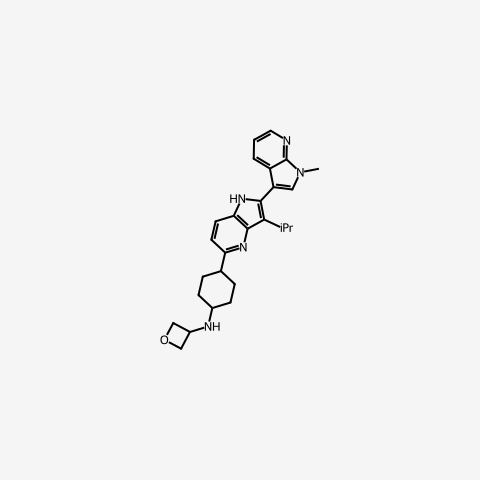 CC(C)c1c(-c2cn(C)c3ncccc23)[nH]c2ccc(C3CCC(NC4COC4)CC3)nc12